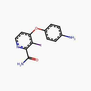 NC(=O)c1nccc(Oc2ccc(N)cc2)c1I